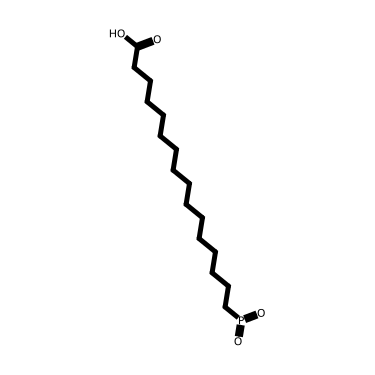 O=C(O)CCCCCCCCCCCCCCCP(=O)=O